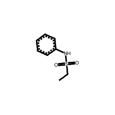 CCS(=O)(=O)Nc1c[c]ccc1